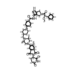 CO[C@@H](C(=O)N1Cc2[nH]nc(NC(=O)c3ccc(N4CCC(CN5C(C)CN(c6cc7c(cc6F)C(=O)N(C6CCC(=O)NC6=O)C7=O)CC5C)CC4)cc3)c2C1)c1ccccc1